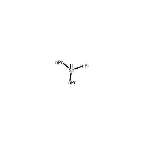 CC[CH2][SnH]([CH2]CC)[CH2]CC